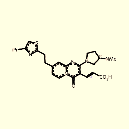 CN[C@@H]1CCN(c2nc3cc(CCc4nc(C(C)C)cs4)ccn3c(=O)c2/C=C/C(=O)O)C1